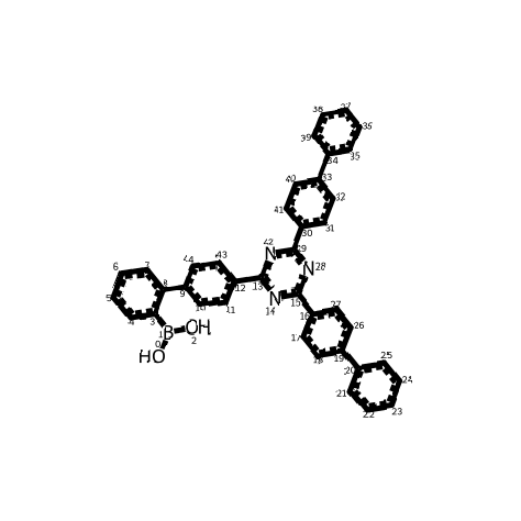 OB(O)c1ccccc1-c1ccc(-c2nc(-c3ccc(-c4ccccc4)cc3)nc(-c3ccc(-c4ccccc4)cc3)n2)cc1